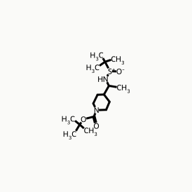 CC(N[S+]([O-])C(C)(C)C)C1CCN(C(=O)OC(C)(C)C)CC1